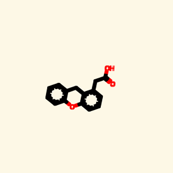 O=C(O)Cc1cccc2c1Cc1ccccc1O2